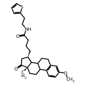 COc1ccc2c(c1)CCC1C2CC[C@]2(C)C(=O)C[C@@H](CCCC(=O)NCCc3cccs3)C12